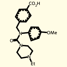 CCN1CCN(C(=O)N(Cc2ccc(C(=O)O)cc2)c2ccc(OC)cc2)CC1